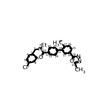 CCN(Cc1ccc(Cl)cc1)C(=O)c1ccc(-c2cc(-c3nnc(C)o3)ccc2C)cc1